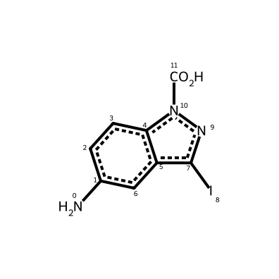 Nc1ccc2c(c1)c(I)nn2C(=O)O